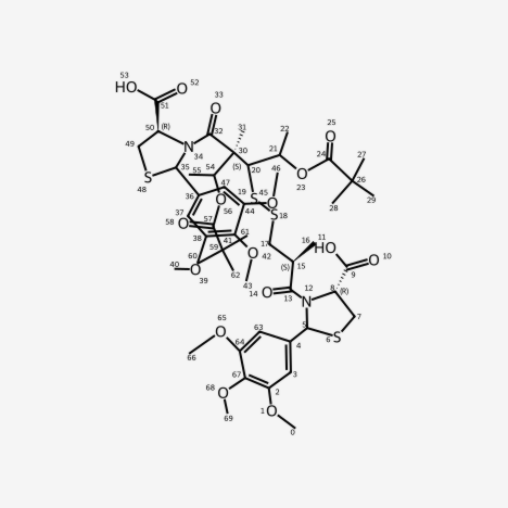 COc1cc(C2SC[C@@H](C(=O)O)N2C(=O)[C@H](C)CSSC(C(C)OC(=O)C(C)(C)C)[C@](C)(C(=O)N2C(c3cc(OC)c(OC)c(OC)c3)SC[C@H]2C(=O)O)C(C)OC(=O)C(C)(C)C)cc(OC)c1OC